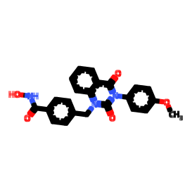 COc1ccc(-n2c(=O)c3ccccc3n(Cc3ccc(C(=O)NO)cc3)c2=O)cc1